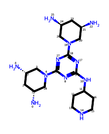 N[C@@H]1C[C@H](N)CN(c2nc(NC3CCNCC3)nc(N3C[C@H](N)C[C@H](N)C3)n2)C1